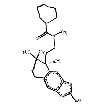 CN(CC[C@@]1(C)c2cc3nc(C(C)(C)C)oc3cc2CCC1(C)C)C(=O)N1CCCCC1